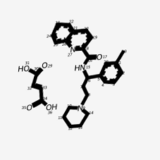 Cc1cccc(C(CCN2CCCCC2)NC(=O)c2ccc3ccccc3n2)c1.O=C(O)C=CC(=O)O